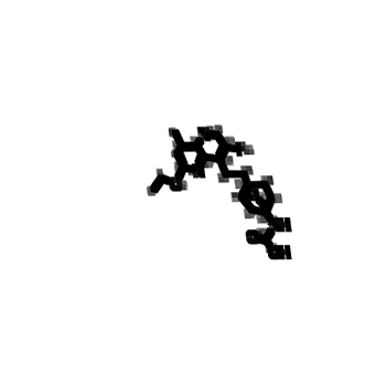 CCOc1cc(C)c2ncc(F)c(CCC34CCC(NC(=O)O)(CC3)CO4)c2n1